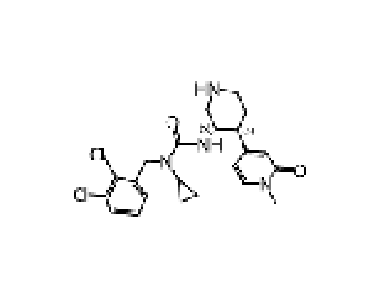 Cn1ccc([C@@H]2CCNC[C@H]2NC(=O)N(Cc2cccc(Cl)c2Cl)C2CC2)cc1=O